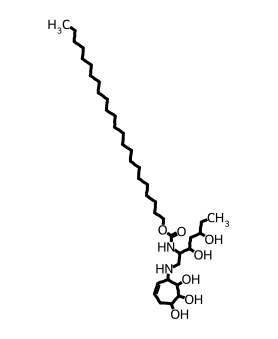 CCCCCCCCCCCCCCCCCCCCCCCCOC(=O)NC(CNC1C=CCC(O)C(O)C1O)C(O)CC(O)CC